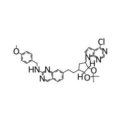 COc1ccc(CNc2ncc3ccc(CCC4C[C@@H](n5ccc6c(Cl)ncnc65)[C@@H]5OC(C)(C)O[C@H]45)cc3n2)cc1